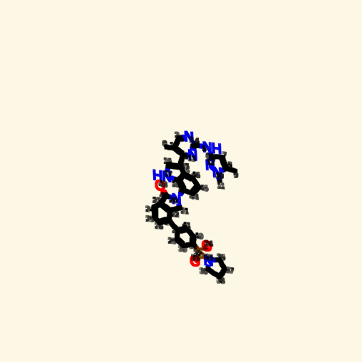 Cc1cnc(Nc2cc(C)n(C)n2)nc1-c1c[nH]c2c(N3Cc4c(cccc4-c4ccc(S(=O)(=O)N5CCCC5)cc4)C3=O)cccc12